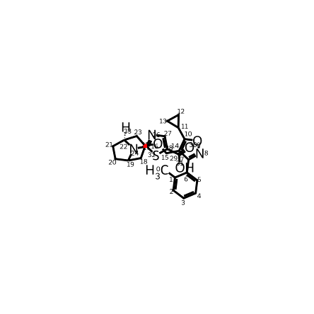 Cc1ccccc1-c1noc(C2CC2)c1COC1CC2CC[C@@H](C1)N2c1ncc(C(=O)O)s1